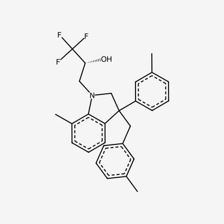 Cc1cccc(CC2(c3cccc(C)c3)CN(C[C@@H](O)C(F)(F)F)c3c(C)cccc32)c1